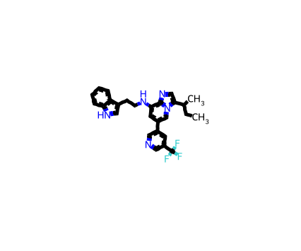 CCC(C)c1cnc2c(NCCc3c[nH]c4ccccc34)cc(-c3cncc(C(F)(F)F)c3)cn12